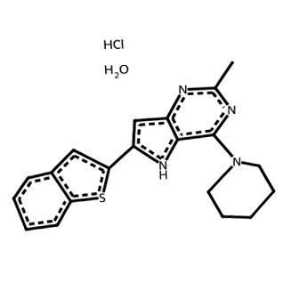 Cc1nc(N2CCCCC2)c2[nH]c(-c3cc4ccccc4s3)cc2n1.Cl.O